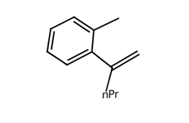 C=C(CCC)c1ccccc1C